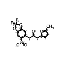 Cc1ccc(CC(=O)Cc2cc3c(cc2[N+](=O)[O-])OC(F)(F)O3)o1